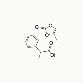 CC(C(=O)O)c1ccccc1.Cc1coc(=O)o1